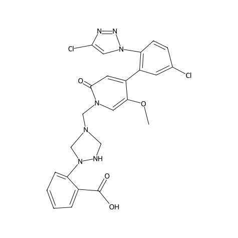 COc1cn(CN2CNN(c3ccccc3C(=O)O)C2)c(=O)cc1-c1cc(Cl)ccc1-n1cc(Cl)nn1